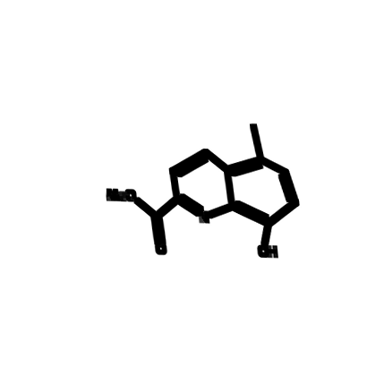 COC(=O)c1ccc2c(C)ccc(O)c2n1